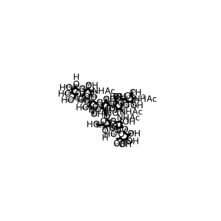 CC(=O)NC1C(O)[C@H](O[C@@H]2OC(CO)[C@H](O)[C@H](O)C2O)[C@H](CO)O[C@H]1OC1[C@@H](OCC2O[C@@H](O[C@]3(O)C(CO)O[C@@H](O[C@@H]4C(CO)OC(C)C(NC(C)=O)[C@H]4O)C(NC(C)=O)[C@H]3O)C(O)[C@@H](O[C@H]3O[C@H](CO)[C@@H](O)C(O)C3O[C@@H]3OC(CO)[C@@H](O[C@@H]4OC(CO)[C@H](O)[C@H](O)C4O)[C@H](O)C3NC(C)=O)[C@@H]2O)OC(CO)[C@@H](O)[C@@H]1O